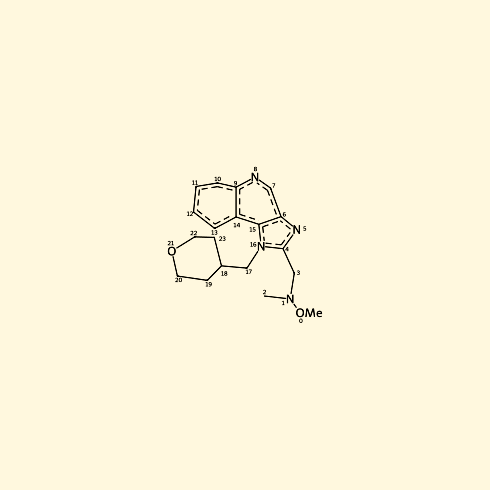 CON(C)Cc1nc2cnc3ccccc3c2n1CC1CCOCC1